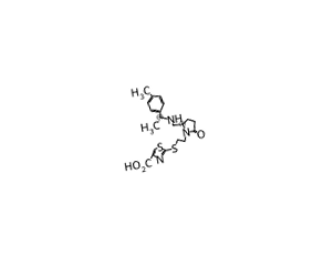 Cc1ccc([C@@H](C)NC[C@H]2CCC(=O)N2CCSc2nc(C(=O)O)cs2)cc1